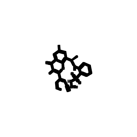 C#C/C=C(\C=C/C)c1oc2c([C@@H](C)Nc3ccccc3S(=O)(=O)NOC)cc(C)cc2c(=O)c1C